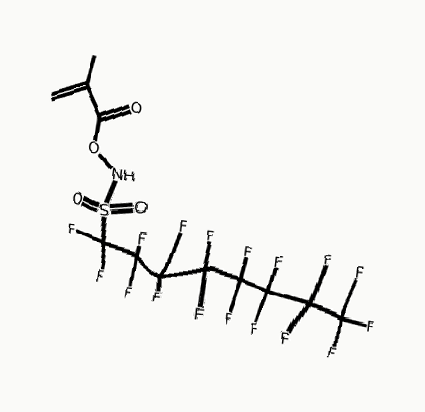 C=C(C)C(=O)ONS(=O)(=O)C(F)(F)C(F)(F)C(F)(F)C(F)(F)C(F)(F)C(F)(F)C(F)(F)C(F)(F)F